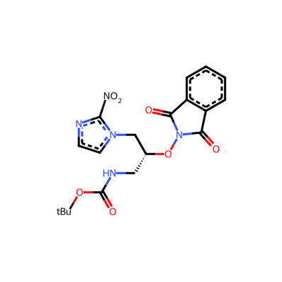 CC(C)(C)OC(=O)NC[C@H](Cn1ccnc1[N+](=O)[O-])ON1C(=O)c2ccccc2C1=O